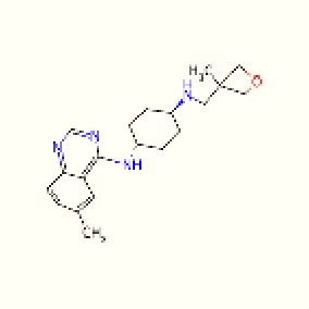 Cc1ccc2ncnc(N[C@H]3CC[C@H](NCC4(C)COC4)CC3)c2c1